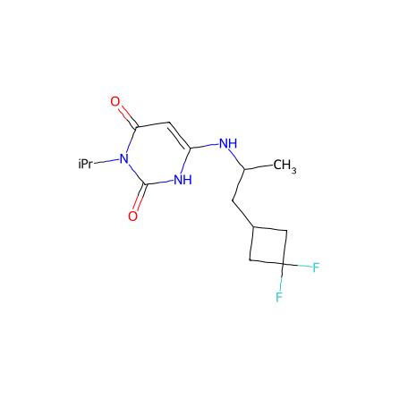 CC(CC1CC(F)(F)C1)Nc1cc(=O)n(C(C)C)c(=O)[nH]1